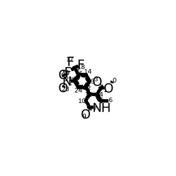 COC(=O)C1=C(C)NC(=O)CC1c1ccc(C(F)(F)F)c([N+](=O)[O-])c1